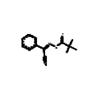 CC(C)(C)C(=O)ON=C(C#N)c1ccccc1